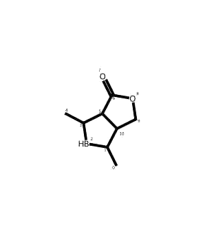 CC1BC(C)C2C(=O)OCC12